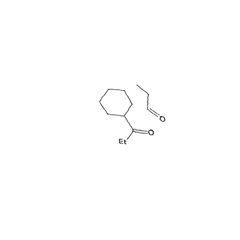 CCC(=O)C1CCCCC1.CCC=O